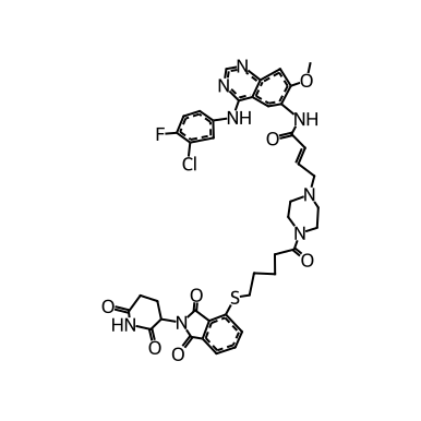 COc1cc2ncnc(Nc3ccc(F)c(Cl)c3)c2cc1NC(=O)/C=C/CN1CCN(C(=O)CCCCSc2cccc3c2C(=O)N(C2CCC(=O)NC2=O)C3=O)CC1